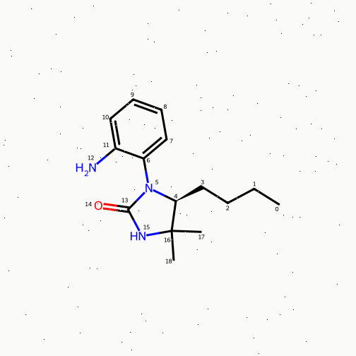 CCCC[C@@H]1N(c2ccccc2N)C(=O)NC1(C)C